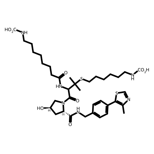 Cc1ncsc1-c1ccc(CNC(=O)[C@@H]2C[C@@H](O)CN2C(=O)C(NC(=O)CCCCCCCNC(=O)O)C(C)(C)SCCCCCCNC(=O)O)cc1